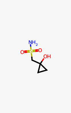 NS(=O)(=O)CC1(O)CC1